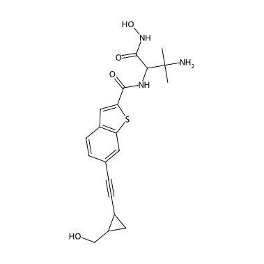 CC(C)(N)C(NC(=O)c1cc2ccc(C#CC3CC3CO)cc2s1)C(=O)NO